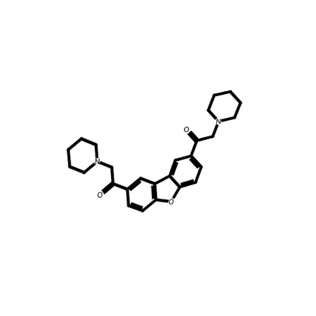 O=C(CN1CCCCC1)c1ccc2oc3ccc(C(=O)CN4CCCCC4)cc3c2c1